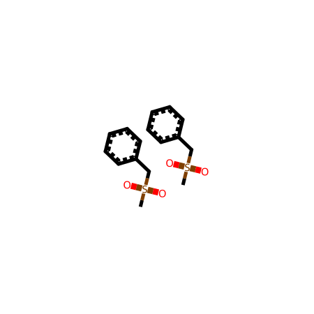 CS(=O)(=O)Cc1ccccc1.CS(=O)(=O)Cc1ccccc1